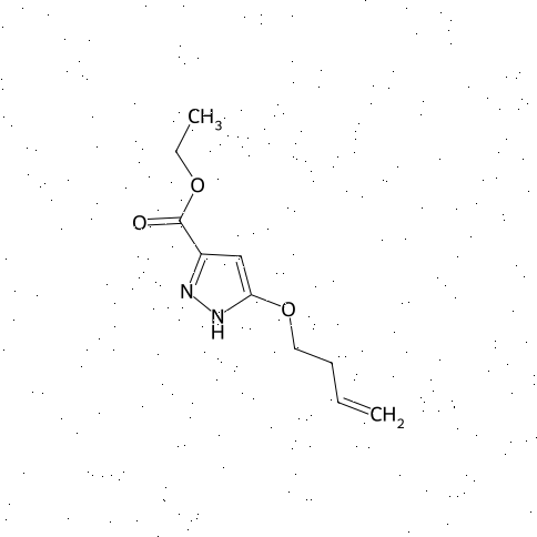 C=CCCOc1cc(C(=O)OCC)n[nH]1